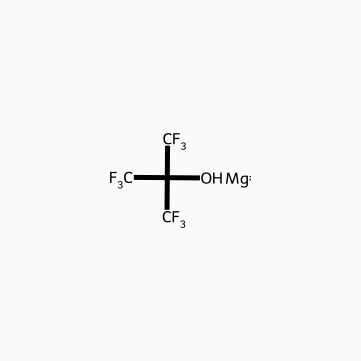 OC(C(F)(F)F)(C(F)(F)F)C(F)(F)F.[Mg]